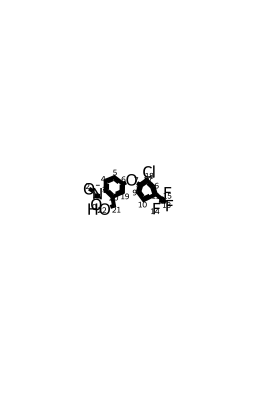 O=[N+]([O-])c1ccc(Oc2ccc(C(F)(F)F)cc2Cl)cc1CO